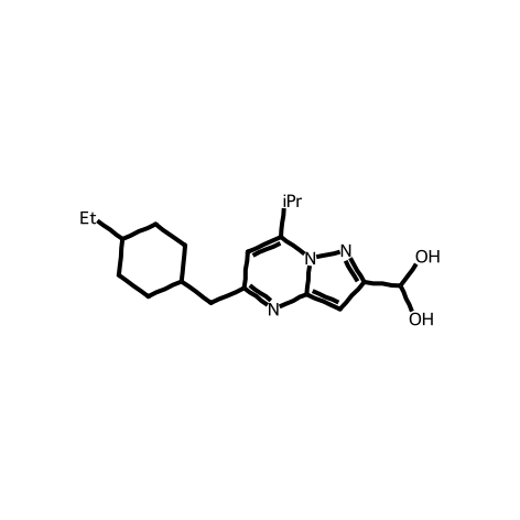 CCC1CCC(Cc2cc(C(C)C)n3nc(C(O)O)cc3n2)CC1